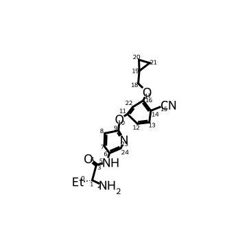 CC[C@@H](N)C(=O)Nc1ccc(Oc2ccc(C#N)c(OCC3CC3)c2)nc1